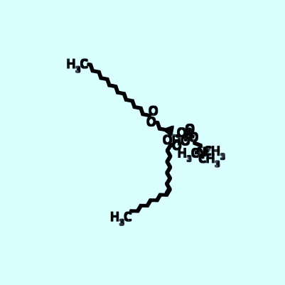 CCCCCCCC/C=C\CCCCCCCC(=O)O[C@]1(COP(=O)(O)OCC[N+](C)(C)C)CC1CCOC(=O)CCCCCCCCCCCCCCC